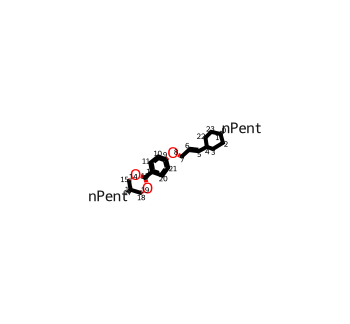 CCCCCC1CCC(/C=C/COc2ccc(C3OCC(CCCCC)CO3)cc2)CC1